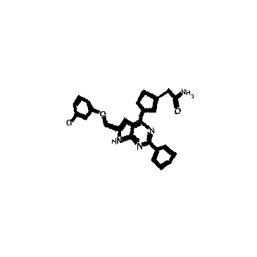 NC(=O)C[C@@H]1CCC(c2nc(-c3ccccc3)nc3[nH]c(COc4cccc(Cl)c4)cc23)C1